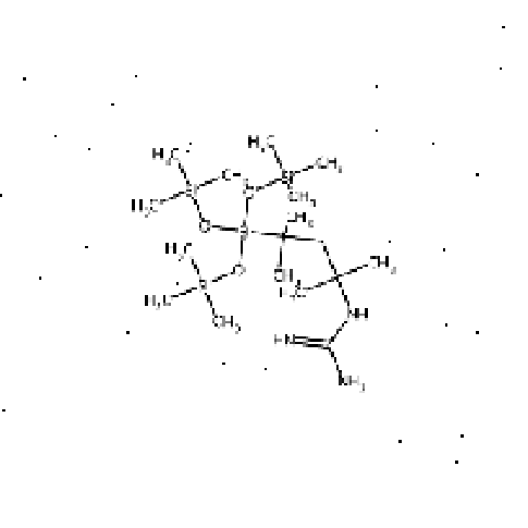 CC(C)(CC(C)(C)[Si](O[Si](C)(C)C)(O[Si](C)(C)C)O[Si](C)(C)C)NC(=N)N